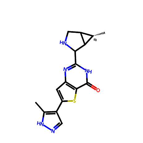 Cc1[nH]ncc1-c1cc2nc(C3NCC4C3[C@H]4C)[nH]c(=O)c2s1